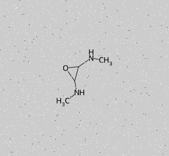 CNC1OC1NC